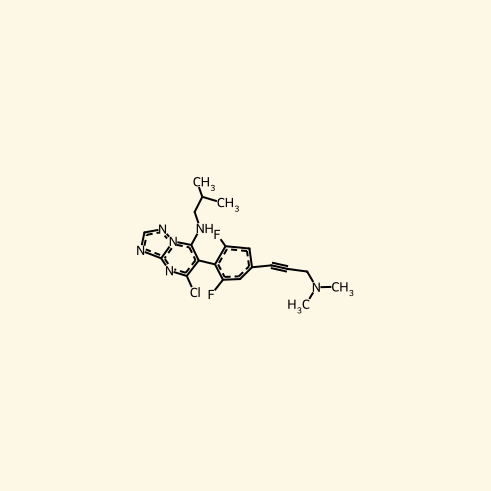 CC(C)CNc1c(-c2c(F)cc(C#CCN(C)C)cc2F)c(Cl)nc2ncnn12